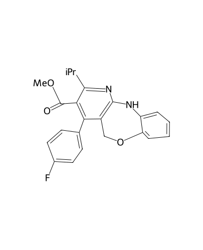 COC(=O)c1c(C(C)C)nc2c(c1-c1ccc(F)cc1)COc1ccccc1N2